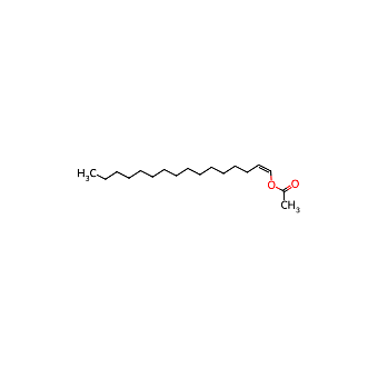 CCCCCCCCCCCCCC/C=C\OC(C)=O